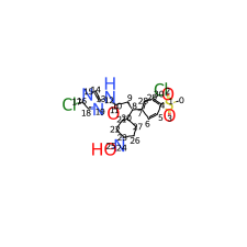 CS(=O)(=O)c1ccc([C@H](CC(=O)Nc2cnc(Cl)cn2)C2CCC(=NO)CC2)cc1Cl